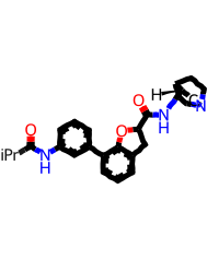 CC(C)C(=O)Nc1cccc(-c2cccc3c2OC(C(=O)N[C@H]2CN4CCC2CC4)C3)c1